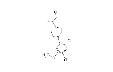 COc1cc(N2CCC(C(=O)CCl)CC2)c(Cl)cc1Cl